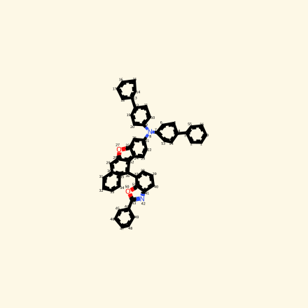 c1ccc(-c2ccc(N(c3ccc(-c4ccccc4)cc3)c3ccc4c(c3)oc3cc5ccccc5c(-c5cccc6nc(-c7ccccc7)oc56)c34)cc2)cc1